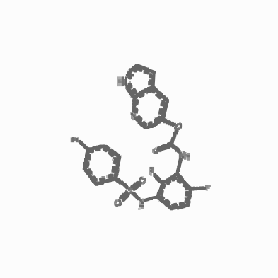 CC(C)c1ccc(S(=O)(=O)Nc2ccc(F)c(NC(=O)Oc3cnc4[nH]ccc4c3)c2F)cc1